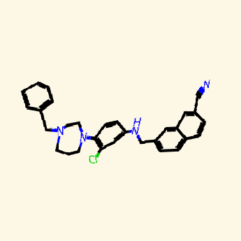 N#Cc1ccc2ccc(CNc3ccc(N4CCCN(Cc5ccccc5)CC4)c(Cl)c3)cc2c1